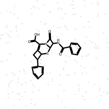 O=C(O)C1=C2CC(c3ccccc3)C2SC2C(NC(=O)c3ccccc3)C(=O)N12